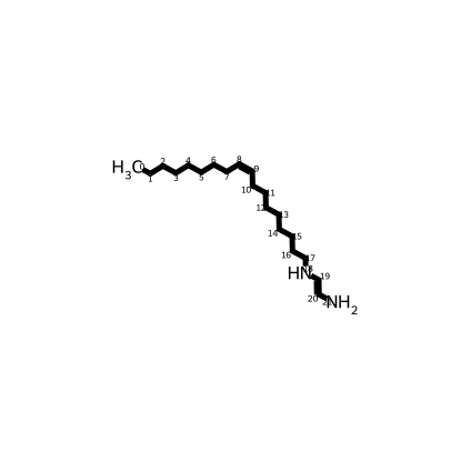 CCCCCCCC/C=C\CCCCCCCCN/C=C/N